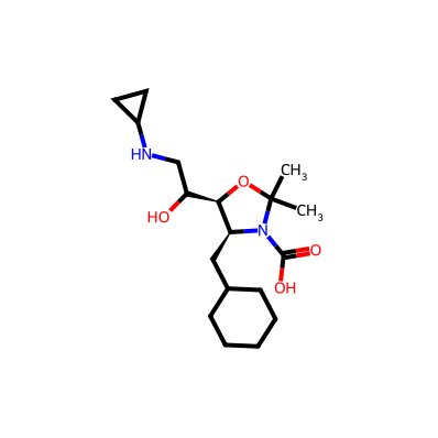 CC1(C)O[C@H](C(O)CNC2CC2)[C@H](CC2CCCCC2)N1C(=O)O